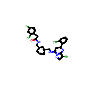 O=C(Cc1ccc(Cl)cc1Cl)NCc1cccc(CNc2cc(-c3ccccc3Cl)nc3c(Br)cnn23)c1